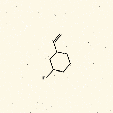 C=C[C]1CCCC(C(C)C)C1